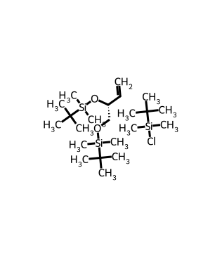 C=C[C@H](CO[Si](C)(C)C(C)(C)C)O[Si](C)(C)C(C)(C)C.CC(C)(C)[Si](C)(C)Cl